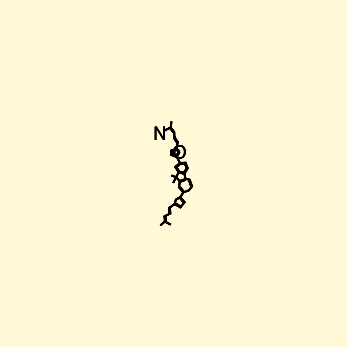 CC(C)=C/C=C/C1=CC=C(C2=CC3=C(C=CC2)c2ccc(-c4ccc(/C=C/C=C(/C)C#N)o4)cc2C3(C)C)C1